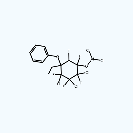 CCC1(Oc2ccccc2)C(F)C(F)([O][Al]([Cl])[Cl])C(F)(Cl)C(F)(Cl)C1(F)Cl